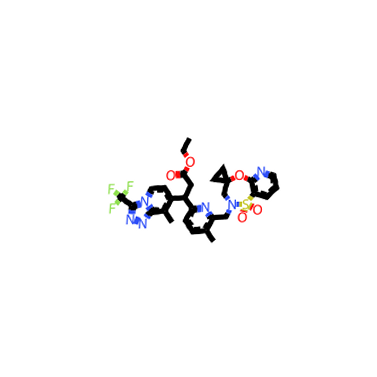 CCOC(=O)CC(c1ccc(C)c(CN2CC3(CC3)Oc3ncccc3S2(=O)=O)n1)c1ccn2c(C(F)(F)F)nnc2c1C